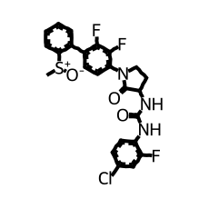 C[S+]([O-])c1ccccc1-c1ccc(N2CCC(NC(=O)Nc3ccc(Cl)cc3F)C2=O)c(F)c1F